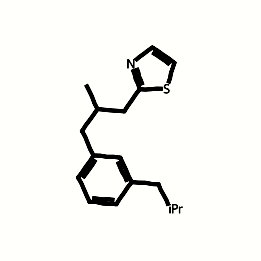 CC(C)Cc1cccc(CC(C)Cc2nccs2)c1